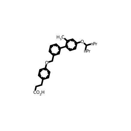 CCCC(CCC)Oc1ccc(-c2cccc(COc3ccc(CCC(=O)O)cc3)c2)c(C)c1